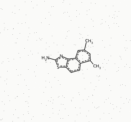 Cc1cc(C)c2ccc3sc(N)nc3c2c1